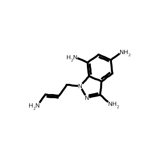 NC=CCn1nc(N)c2cc(N)cc(N)c21